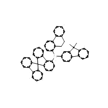 CC1(C)c2ccccc2-c2ccc(N(c3cccc4c3CCc3ccccc3-4)c3cccc4c3-c3ccccc3C43c4ccccc4-c4ccccc43)cc21